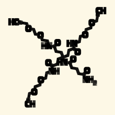 C#CCOCCOCCNC(=O)CCC(CCC(=O)NCCOCCOCC#C)(CCC(=O)NCCOCCOCC#C)NC(=O)CCCC(N)=O